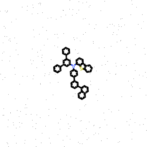 c1ccc(-c2cc(-c3ccccc3)cc(N(c3ccc(-c4cccc(-c5cccc6ccccc56)c4)cc3)c3cccc4c3sc3ccccc34)c2)cc1